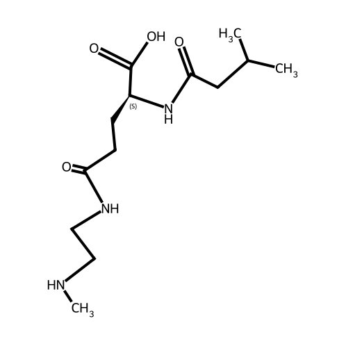 CNCCNC(=O)CC[C@H](NC(=O)CC(C)C)C(=O)O